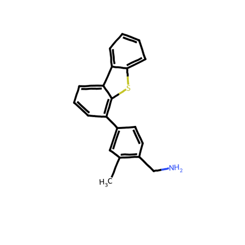 Cc1cc(-c2cccc3c2sc2ccccc23)ccc1CN